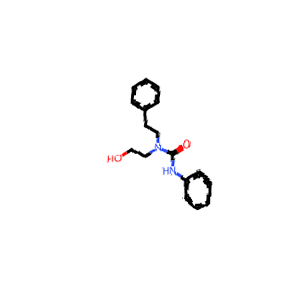 O=C(Nc1[c]cccc1)N(CCO)CCc1ccccc1